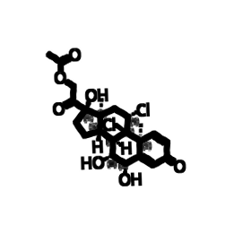 CC(=O)OCC(=O)[C@@]1(O)CC[C@H]2[C@@H]3[C@@H](O)[C@@H](O)C4=CC(=O)C=C[C@]4(C)[C@@]3(Cl)[C@@H](Cl)C[C@@]21C